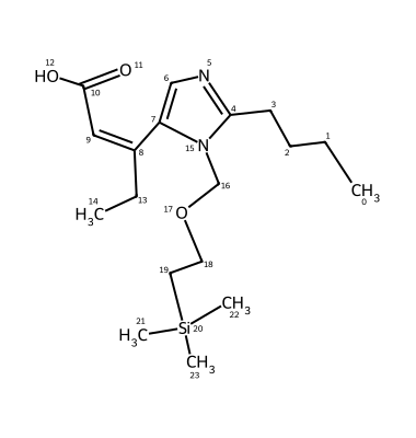 CCCCc1ncc(/C(=C\C(=O)O)CC)n1COCC[Si](C)(C)C